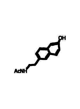 CC(=O)NCCc1ccc2cc(O)ccc2c1